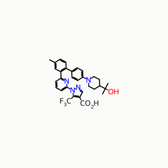 Cc1ccc(-c2ccc(N3CCC(C(C)(C)O)CC3)cc2)c(-c2cccc(-n3ncc(C(=O)O)c3C(F)(F)F)n2)c1